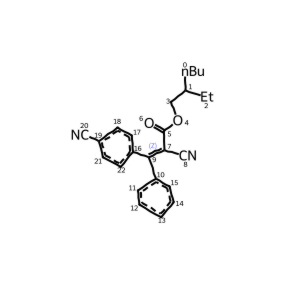 CCCCC(CC)COC(=O)/C(C#N)=C(/c1ccccc1)c1ccc(C#N)cc1